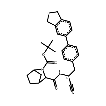 CC(C)(C)OC(=O)N1C2CCC(C2)C1C(=O)N[C@H](C#N)Cc1ccc(-c2ccc3c(c2)COC3)cc1